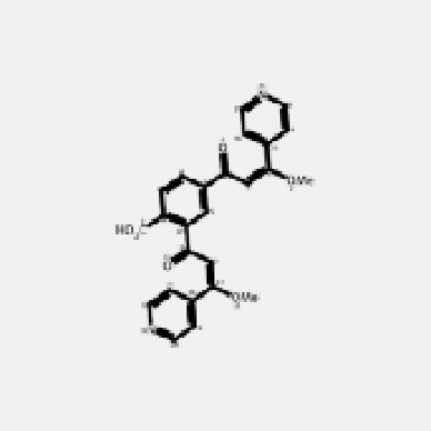 COC(=CC(=O)c1ccc(C(=O)O)c(C(=O)C=C(OC)c2ccncc2)c1)c1ccncc1